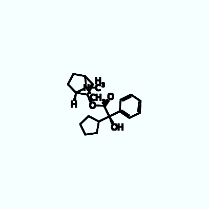 C[N+]1(C)C2CC[C@H]1[C@H](OC(=O)[C@](O)(c1ccccc1)C1CCCC1)C2